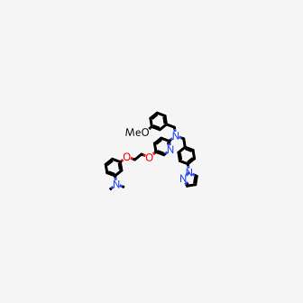 COc1cccc(CN(Cc2ccc(-n3cccn3)cc2)c2ccc(OCCOc3cccc(N(C)C)c3)cn2)c1